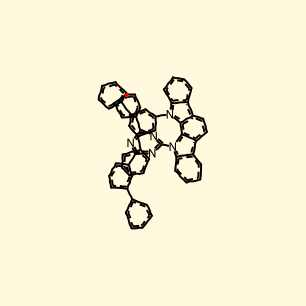 c1ccc(-c2cccc(-c3nc(-c4ccccc4)nc(-n4c5ccccc5c5ccc6c7ccccc7n(-c7cc(-c8ccccc8)cc(-c8ccccc8)c7)c6c54)n3)c2)cc1